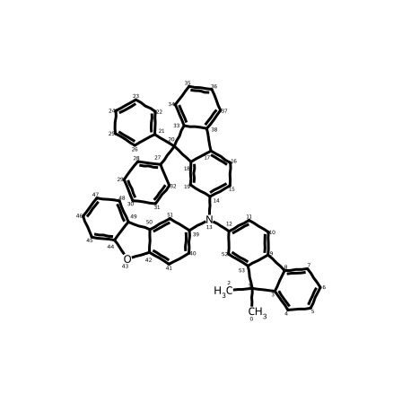 CC1(C)c2ccccc2-c2ccc(N(c3ccc4c(c3)C(c3ccccc3)(c3ccccc3)c3ccccc3-4)c3ccc4oc5ccccc5c4c3)cc21